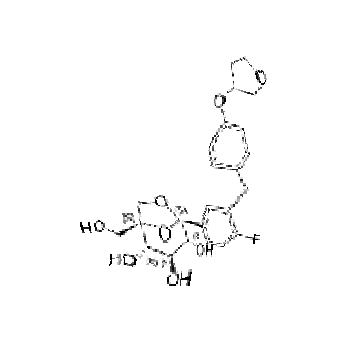 OC[C@@]12CO[C@@](c3ccc(F)c(Cc4ccc(OC5CCOC5)cc4)c3)(O1)[C@H](O)[C@@H](O)[C@@H]2O